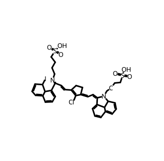 O=S(=O)(O)CCCC/N=C(\C=C\C1=C(Cl)C(=C/C=C2\C3=CC=CC4=CC=CC(C43)N2CCCCS(=O)(=O)O)/CC1)C1=CC=CC2=CC=CC(I)C21